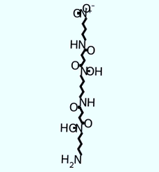 NCCCCCN(O)C(=O)CCC(=O)NCCCCCN(O)C(=O)CCC(=O)NCCCCC[N+](=O)[O-]